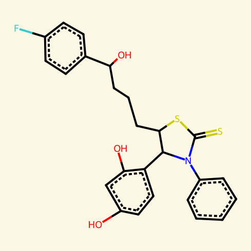 Oc1ccc(C2C(CCCC(O)c3ccc(F)cc3)SC(=S)N2c2ccccc2)c(O)c1